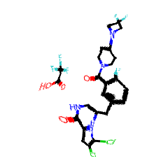 O=C(O)C(F)(F)F.O=C(c1cc(Cc2c[nH]c(=O)c3cc(Cl)c(Cl)n23)ccc1F)N1CCC(N2CC(F)(F)C2)CC1